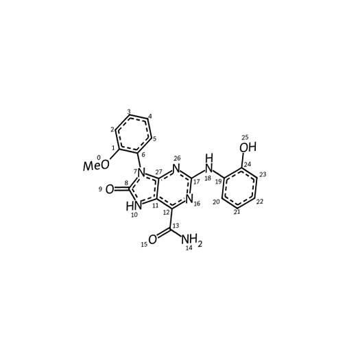 COc1ccccc1-n1c(=O)[nH]c2c(C(N)=O)nc(Nc3ccccc3O)nc21